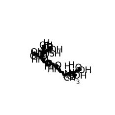 C[C@H](CCCCNC(=O)NCc1ccc(CC(=O)N[C@@H](CCC(=O)O)C(=O)N[C@@H](CC(=O)O)C(=O)N[C@@H](CS)C(=O)O)cc1)NC(=O)N[C@@H](CCC(=O)O)C(=O)O